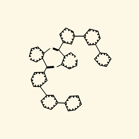 c1ccc(-c2cccc(-c3cccc(/C4=N/c5ccncc5/C(c5cccc(-c6cccc(-c7ccccc7)c6)c5)=N\c5ccncc54)c3)c2)cc1